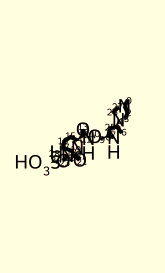 CN1CCN([C@H]2CN[C@@H](CONC(=O)[C@@H]3CC[C@@H]4CN3C(=O)N4OS(=O)(=O)O)C2)CC1